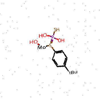 CC(C)(C)c1ccc([S]([Mo][OH])=P(O)(O)S)cc1